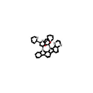 c1ccc(-n2c3c(ccc4nccnc43)c3ccc4c5ccccc5n(-c5cc(-c6ccccn6)nc(-c6ccccn6)c5)c4c32)cc1